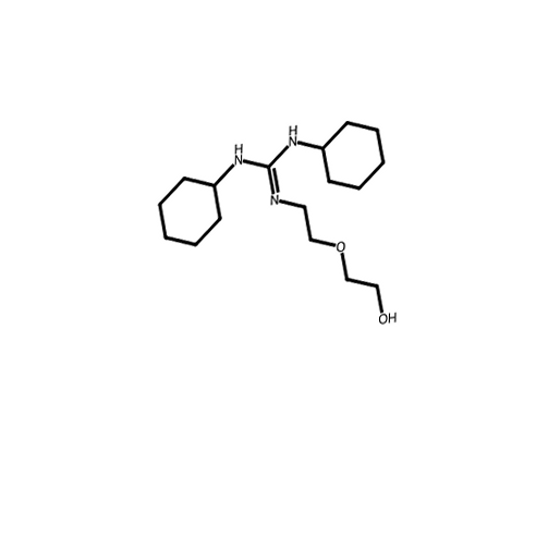 OCCOCCN=C(NC1CCCCC1)NC1CCCCC1